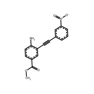 COC(=O)c1ccc(N)c(C#Cc2cccc([N+](=O)[O-])c2)c1